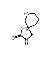 O=C1NC[C@@]2(CCCNC2)N1